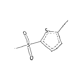 [CH2]S(=O)(=O)c1ccc(C)s1